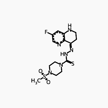 CS(=O)(=O)N1CCN(C(=S)N/N=C2/CCNc3cc(F)cnc32)CC1